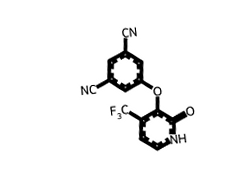 N#Cc1cc(C#N)cc(Oc2c(C(F)(F)F)cc[nH]c2=O)c1